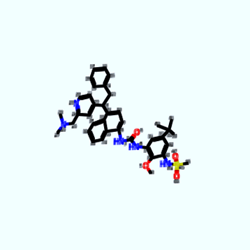 COc1c(NC(=O)Nc2ccc(C(Cc3ccccc3)c3ccnc(CN(C)C)c3)c3ccccc23)cc(C(C)(C)C)cc1NS(C)(=O)=O